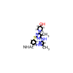 CC(=O)Nc1ccc(Sc2nc(Nc3cc(C)[nH]n3)c(C)c(N3CCC(O)CC3)n2)cc1